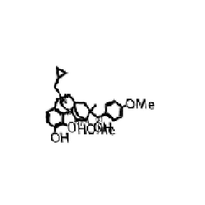 COc1ccc([C@@H](O)C2(C)CC34CC[C@]2(OC)[C@H]2Oc5c(O)ccc6c5[C@@]23CCN(CC2CC2)C4C6)cc1